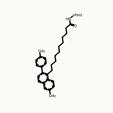 CCCCCNC(=O)CCCCCCCCCCc1c(-c2ccc(OC(C)=O)cc2)ccc2cc(OC(C)=O)ccc12